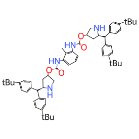 Cc1c(NC(=O)O[C@H]2CN[C@@H](C(c3ccc(C(C)(C)C)cc3)c3ccc(C(C)(C)C)cc3)C2)cccc1NC(=O)O[C@H]1CN[C@@H](C(c2ccc(C(C)(C)C)cc2)c2ccc(C(C)(C)C)cc2)C1